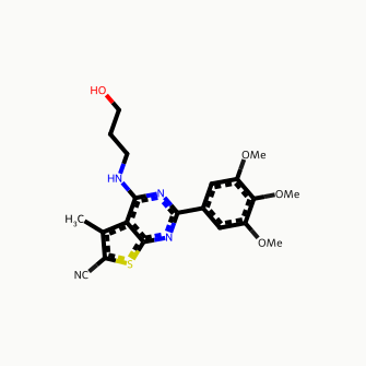 COc1cc(-c2nc(NCCCO)c3c(C)c(C#N)sc3n2)cc(OC)c1OC